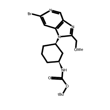 COCc1nc2cnc(Br)cc2n1[C@@H]1CCC[C@H](NC(=O)OC(C)(C)C)C1